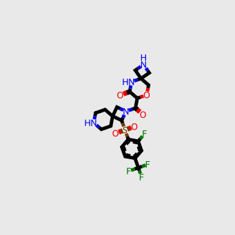 O=C1NC2(CNC2)COC1C(=O)N1CC2(CCNCC2)C1S(=O)(=O)c1ccc(C(F)(F)F)cc1F